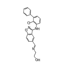 OCCN=Cc1ccc2onc(Nc3cccc(-c4ccccc4)c3Cl)c2c1